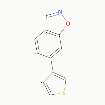 [c]1cscc1-c1[c]cc2cnoc2c1